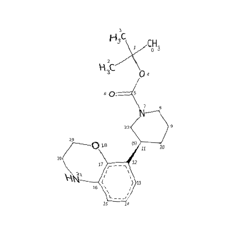 CC(C)(C)OC(=O)N1CCC[C@@H](c2cccc3c2OCCN3)C1